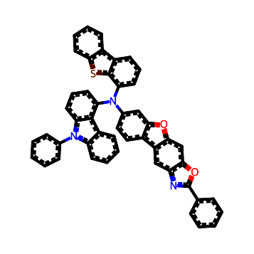 c1ccc(-c2nc3cc4c(cc3o2)oc2cc(N(c3cccc5c3sc3ccccc35)c3cccc5c3c3ccccc3n5-c3ccccc3)ccc24)cc1